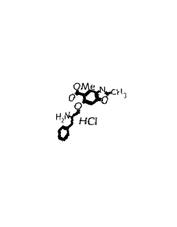 COC(=O)c1cc2nc(C)oc2cc1OC[C@H](N)Cc1ccccc1.Cl